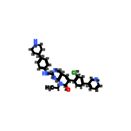 CCn1c(=O)c(-c2ccc(-c3cccnc3)cc2Cl)cc2cnc(Nc3ccc(C4CCNCC4)cc3)nc21